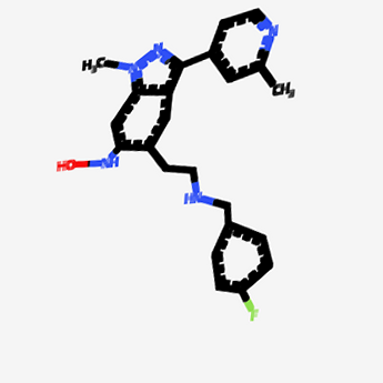 Cc1cc(-c2nn(C)c3cc(NO)c(CCNCc4ccc(F)cc4)cc23)ccn1